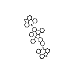 c1ccc(N(c2ccc3cc4c(cc3c2)C(c2ccccc2)(c2ccccc2)c2c-4c3ccccc3c3cc(N(c4ccccc4)c4cccc5oc6ccccc6c45)ccc23)c2cccc3oc4ccccc4c23)cc1